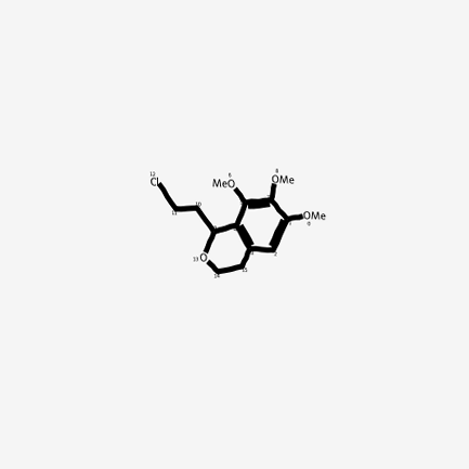 COc1cc2c(c(OC)c1OC)C(CCCl)OCC2